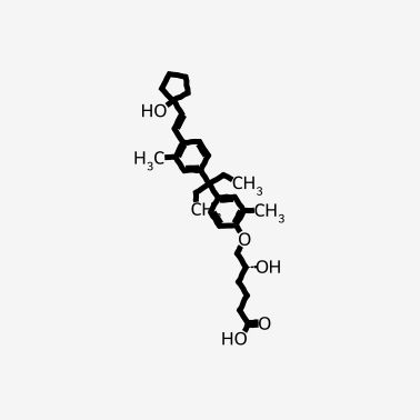 CCC(CC)(c1ccc(/C=C/C2(O)CCCC2)c(C)c1)c1ccc(OC[C@H](O)CCCC(=O)O)c(C)c1